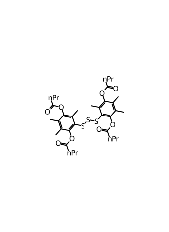 CCCC(=O)Oc1c(C)c(C)c(OC(=O)CCC)c(SSSc2c(C)c(OC(=O)CCC)c(C)c(C)c2OC(=O)CCC)c1C